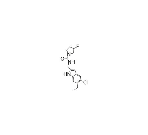 CCc1cc2[nH]c(CNC(=O)N3CCC(F)C3)cc2cc1Cl